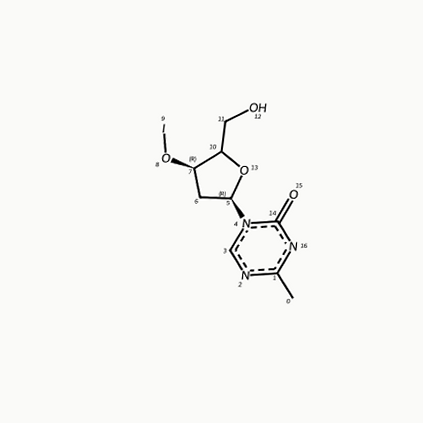 Cc1ncn([C@H]2C[C@@H](OI)C(CO)O2)c(=O)n1